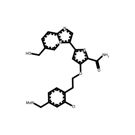 CNCc1ccc(CCOc2cc(-c3cnc4ccc(CO)cn34)sc2C(N)=O)c(Cl)c1